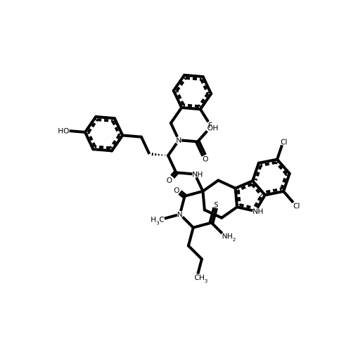 CCCC(C(N)=S)N(C)C(=O)C1(NC(=O)[C@H](CCc2ccc(O)cc2)N(Cc2ccccc2F)C(=O)O)CCc2[nH]c3c(Cl)cc(Cl)cc3c2C1